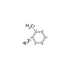 Cc1ccccc1.[F-].[K+]